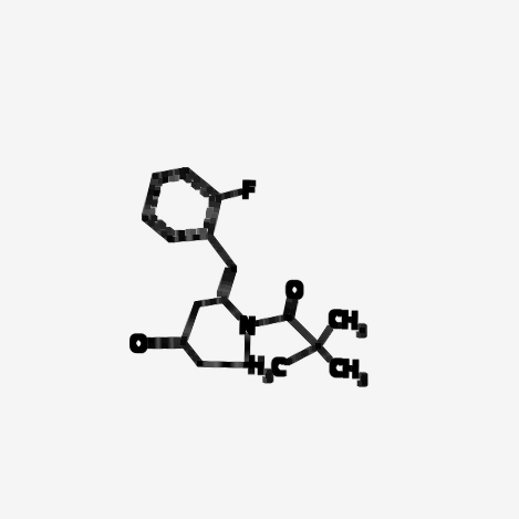 CC(C)(C)C(=O)N1CCC(=O)CC1=Cc1ccccc1F